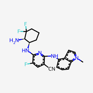 Cn1ccc2c(Nc3nc(N[C@@H]4CCCC(F)(F)[C@@H]4N)c(F)cc3C#N)cccc21